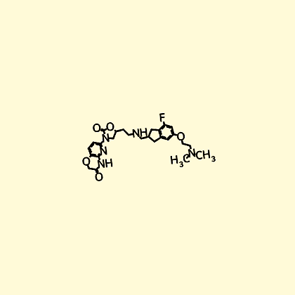 CN(C)CCOc1cc(F)c2c(c1)CC(CNCCC1CN(c3ccc4c(n3)NC(=O)CO4)C(=O)O1)C2